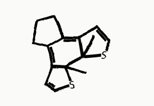 CC12SC=CC1=C1CCCC1=C1C=CSC12C